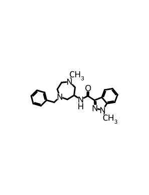 CN1CCN(Cc2ccccc2)CC(NC(=O)c2nn(C)c3ccccc23)C1